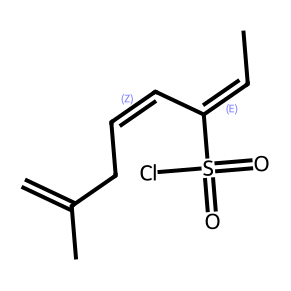 C=C(C)C/C=C\C(=C/C)S(=O)(=O)Cl